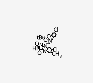 Cc1cc2nc3c(=O)[nH]c(=O)nc-3n(CCN(Cc3ccc(Cl)cc3)C(=O)OC(C)(C)C)c2cc1Cl